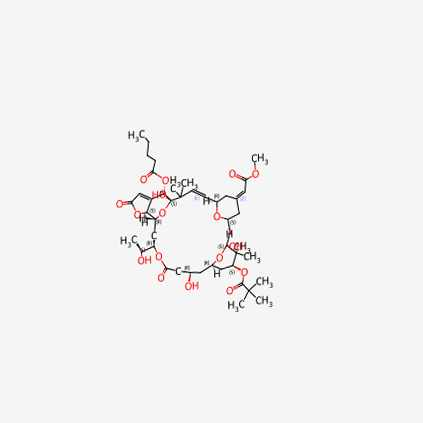 CCCCC(=O)O[C@H]1C2=CC(=O)O[C@@H]2[C@H]2C[C@H]([C@H](C)O)OC(=O)C[C@H](O)C[C@@H]3C[C@H](OC(=O)C(C)(C)C)C(C)(C)[C@](O)(C[C@@H]4C/C(=C/C(=O)OC)C[C@H](/C=C/C(C)(C)[C@]1(O)O2)O4)O3